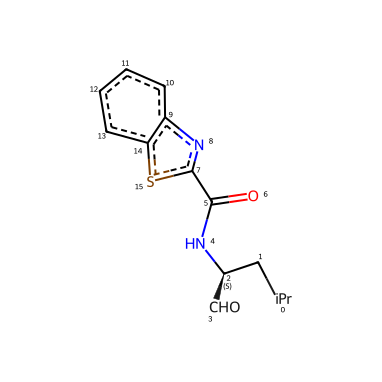 CC(C)C[C@@H](C=O)NC(=O)c1nc2ccccc2s1